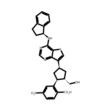 O=C(O)c1ccc([N+](=O)[O-])cc1[C@H]1C[C@@H](c2csc3c(N[C@H]4CCc5ccccc54)ncnc23)C[C@@H]1CO